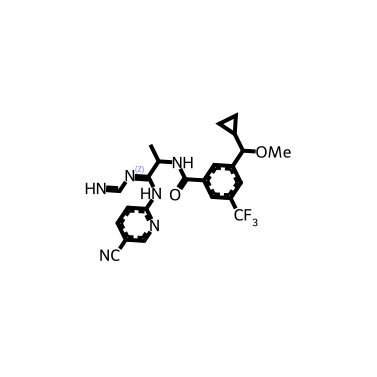 COC(c1cc(C(=O)NC(C)/C(=N/C=N)Nc2ccc(C#N)cn2)cc(C(F)(F)F)c1)C1CC1